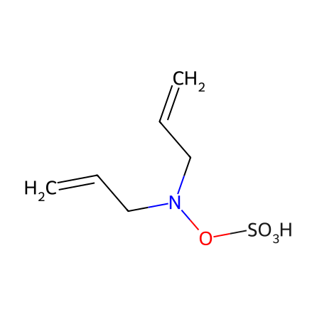 C=CCN(CC=C)OS(=O)(=O)O